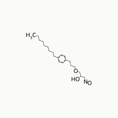 CCCCCCCCCc1ccc(CCCOCC(O)CN=O)cc1